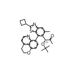 CC(=O)[C@@H](OC(C)(C)C)c1c(C)cc2nc(C3CCC3)sc2c1-c1ccc2c3c(ccnc13)CCO2